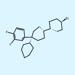 CC[C@H]1CC[C@H]([C@H]2CC[C@@](c3ccc(F)c(F)c3)(C3CCCCC3)CC2)CC1